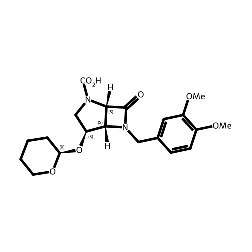 COc1ccc(CN2C(=O)[C@@H]3[C@H]2[C@@H](O[C@@H]2CCCCO2)CN3C(=O)O)cc1OC